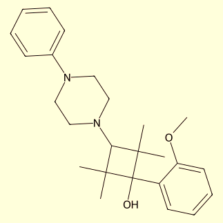 COc1ccccc1C1(O)C(C)(C)C(N2CCN(c3ccccc3)CC2)C1(C)C